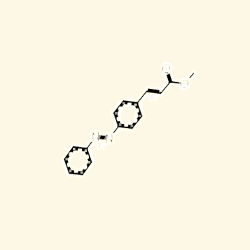 COC(=O)/C=C/c1ccc(/N=N/c2ccccc2)cc1